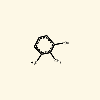 Cc1cc[c]c(C(C)(C)C)c1C